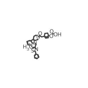 Cc1sc(-c2ccccc2)nc1Cn1c2c(c3cccnc31)CCN(C(=O)CC13CCC(OC(=O)O)(CC1)C3)C2